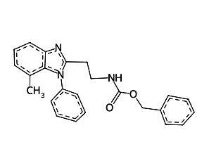 Cc1cccc2nc(CCNC(=O)OCc3ccccc3)n(-c3ccccc3)c12